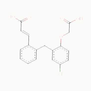 O=C(O)/C=C/c1ccccc1Cc1cc(Cl)ccc1OCC(=O)O